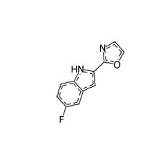 Fc1ccc2[nH]c(-c3ncco3)cc2c1